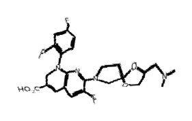 CN(C)CC1COC2(CCN(c3nc4c(cc3F)C=C(C(=O)O)CN4c3ccc(F)cc3F)C2)O1